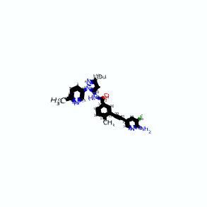 Cc1ccc(-n2nc(C(C)(C)C)cc2NC(=O)c2ccc(C)c(C#Cc3cnc(N)c(F)c3)c2)cn1